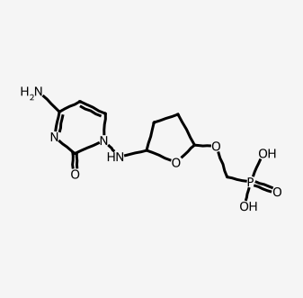 Nc1ccn(NC2CCC(OCP(=O)(O)O)O2)c(=O)n1